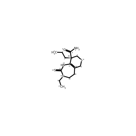 CCC[C@@]1(C(N)=O)CSCC2=C1NC(=S)N(CC)CC2